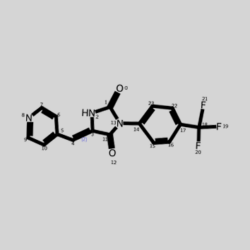 O=C1N/C(=C\c2ccncc2)C(=O)N1c1ccc(C(F)(F)F)cc1